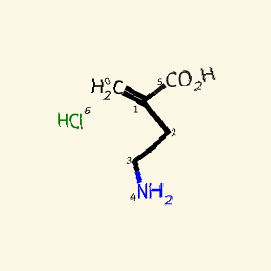 C=C(CCN)C(=O)O.Cl